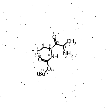 CC(N)C(=O)N(CC(F)(F)F)NC(=O)OC(C)(C)C